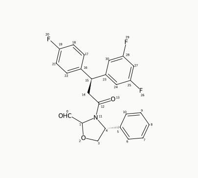 O=CC1OC[C@@H](c2ccccc2)N1C(=O)C[C@@H](c1ccc(F)cc1)c1cc(F)cc(F)c1